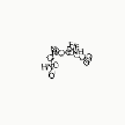 CC(F)(F)C(=O)NC(COc1ccc2c(cnn2-c2cccc(C(=O)NC3CCOC3)c2)c1)Cc1ccc2c(c1)OCCO2